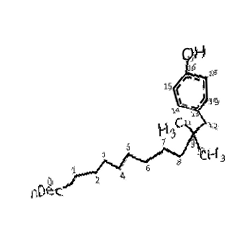 CCCCCCCCCCCCCCCCCCC(C)(C)Cc1ccc(O)cc1